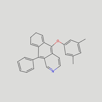 Cc1cc(C)cc(Oc2c3c(c(-c4ccccc4)c4cnccc24)=CCCC=3)c1